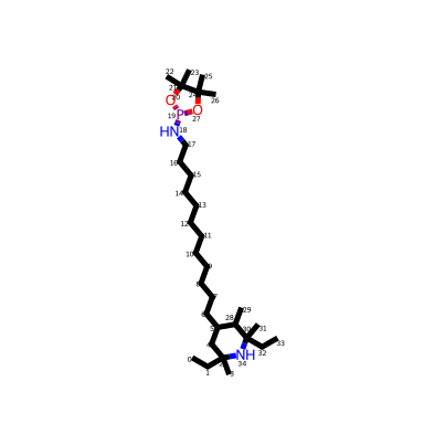 CCC1(C)CC(CCCCCCCCCCCCNP2OC(C)(C)C(C)(C)O2)C(C)C(C)(CC)N1